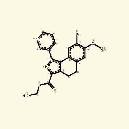 CCOC(=O)c1nn(-c2cccnn2)c2c1CCc1cc(OC)c(Br)cc1-2